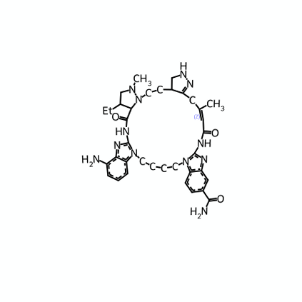 CCC1CN(C)N2CCC3CNN=C3C/C(C)=C\C(=O)Nc3nc4cc(C(N)=O)ccc4n3CCCCn3c(nc4c(N)cccc43)NC(=O)C12